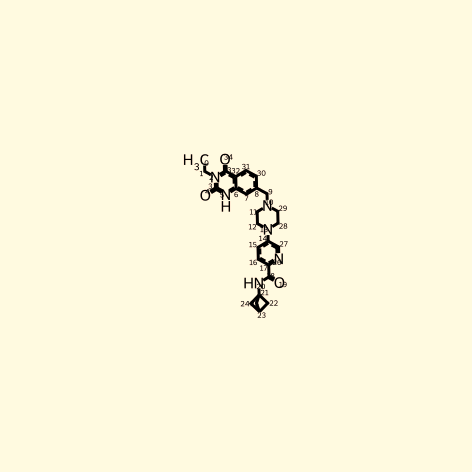 CCn1c(=O)[nH]c2cc(CN3CCN(c4ccc(C(=O)NC56CC(C5)C6)nc4)CC3)ccc2c1=O